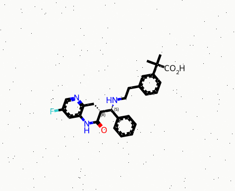 CC(C)(C(=O)O)c1cccc(CCN[C@H](c2ccccc2)[C@H]2Cc3ncc(F)cc3NC2=O)c1